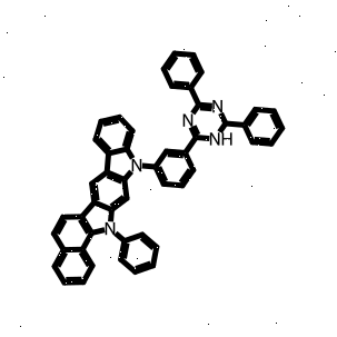 c1ccc(C2=NC(c3ccccc3)NC(c3cccc(-n4c5ccccc5c5cc6c7ccc8ccccc8c7n(-c7ccccc7)c6cc54)c3)=N2)cc1